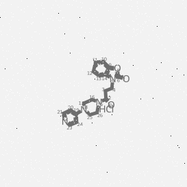 Cl.O=C(CCn1c(=O)oc2ccccc21)N1CCN(c2ccncc2)CC1